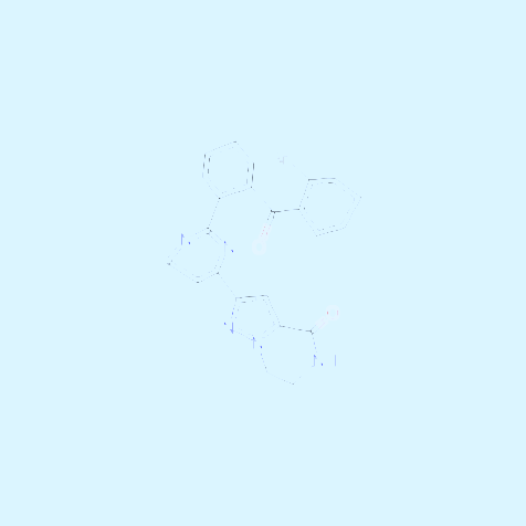 O=C(c1ccccc1Br)c1ccccc1-c1nccc(-c2cc3n(n2)CCNC3=O)n1